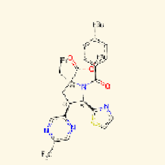 CC(C)C[C@@]1(C(=O)OC(C)(C)C)C[C@H](c2cnc(C(F)(F)F)cn2)[C@H](c2nccs2)N1C(=O)c1ccc(C(C)(C)C)cc1